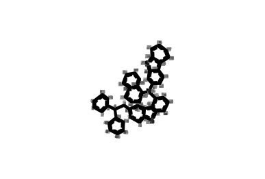 c1ccc(C(Cc2ccc3sc4cccc(N(c5ccc6c(c5)sc5ccccc56)c5cccc6ccccc56)c4c3c2)c2ccccc2)cc1